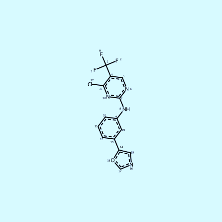 FC(F)(F)c1cnc(Nc2cccc(-c3cnco3)c2)nc1Cl